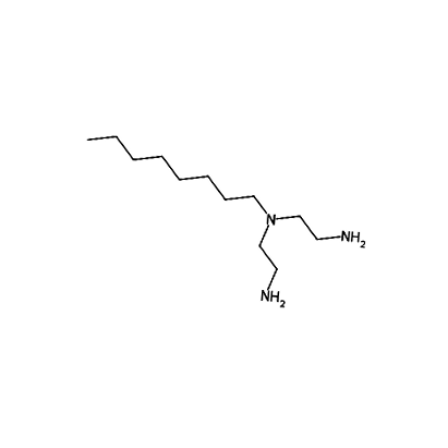 CCCCCCCCN(CCN)CCN